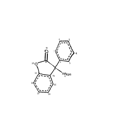 CCCCCCCCCC1(c2ccccc2)C(=O)Oc2ccccc21